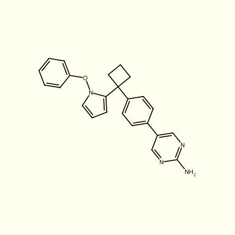 Nc1ncc(-c2ccc(C3(c4cccn4Oc4ccccc4)CCC3)cc2)cn1